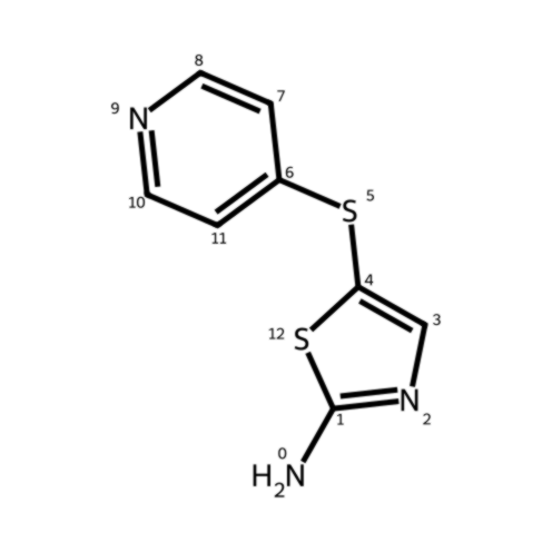 Nc1ncc(Sc2ccncc2)s1